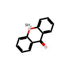 O=c1c2ccccc2oc2ccccc12.[SiH4]